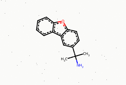 CC(C)(N)c1ccc2oc3ccccc3c2c1